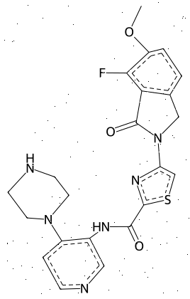 COc1ccc2c(c1F)C(=O)N(c1csc(C(=O)Nc3cnccc3N3CCNCC3)n1)C2